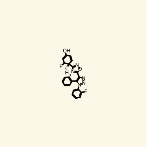 CC1(c2noc(-c3nnn(-c4ccccc4F)c3-c3ccccc3)n2)C=CC(O)=CC1F